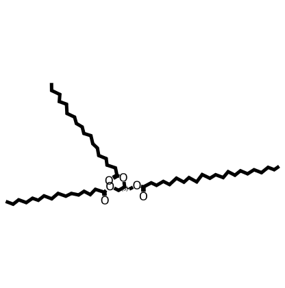 CCCCCCCCCCCCCCCCCCCCCC(=O)OC[C@H](COC(=O)CCCCCCCCCCCCCCC)OC(=O)CCCCCCCCCCCCCCCCC